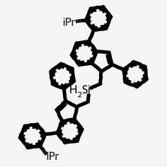 CC(C)c1ccccc1-c1cccc2c1C=C(c1ccccc1)C2C[SiH2]CC1C(c2ccccc2)=Cc2c(-c3ccccc3C(C)C)cccc21